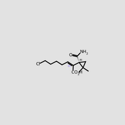 CC1(C)C[C@]1(C(N)=O)/C(=C/CCCCCl)C(=O)O